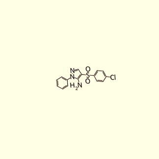 Nc1c(S(=O)(=O)c2ccc(Cl)cc2)cnn1-c1ccccc1